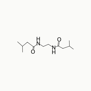 CC(C)CC(=O)NCCNC(=O)CC(C)C